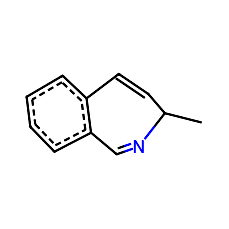 CC1C=Cc2ccccc2C=N1